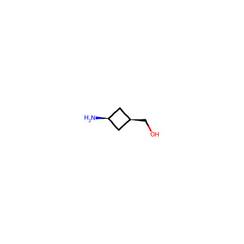 N[C@H]1C[C@@H](CO)C1